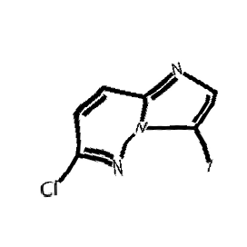 Clc1ccc2ncc(I)n2n1